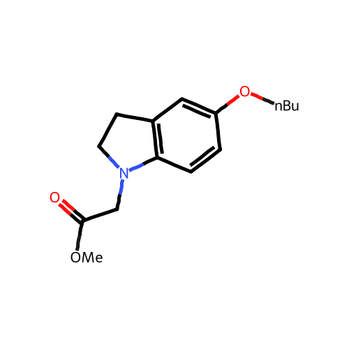 CCCCOc1ccc2c(c1)CCN2CC(=O)OC